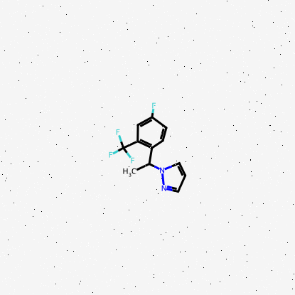 CC(c1ccc(F)cc1C(F)(F)F)n1cccn1